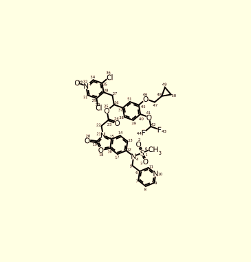 CS(=O)(=O)N(Cc1cccnc1)c1ccc2c(c1)oc(=O)n2CC(=O)OC(Cc1c(Cl)c[n+]([O-])cc1Cl)c1ccc(OC(F)F)c(OCC2CC2)c1